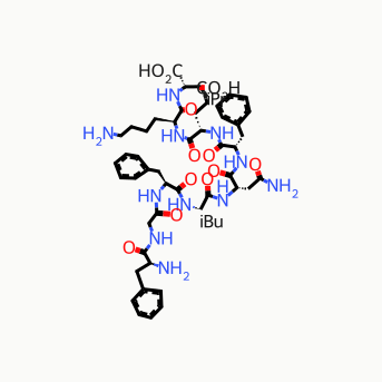 CC[C@H](C)[C@H](NC(=O)[C@H](Cc1ccccc1)NC(=O)CNC(=O)[C@@H](N)Cc1ccccc1)C(=O)N[C@@H](CC(N)=O)C(=O)N[C@@H](Cc1ccccc1)C(=O)N[C@@H](CCC(=O)O)C(=O)N[C@@H](CCCCN)C(=O)N[C@@H](CC(C)C)C(=O)O